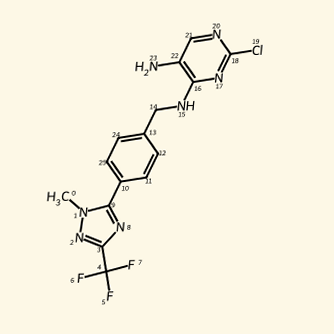 Cn1nc(C(F)(F)F)nc1-c1ccc(CNc2nc(Cl)ncc2N)cc1